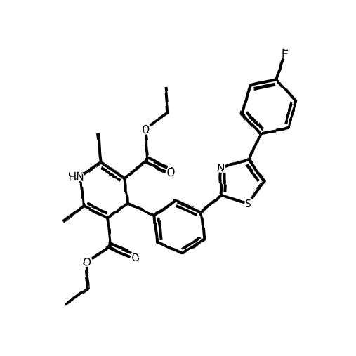 CCOC(=O)C1=C(C)NC(C)=C(C(=O)OCC)C1c1cccc(-c2nc(-c3ccc(F)cc3)cs2)c1